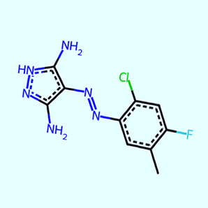 Cc1cc(N=Nc2c(N)n[nH]c2N)c(Cl)cc1F